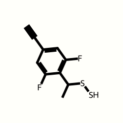 C#Cc1cc(F)c(C(C)SS)c(F)c1